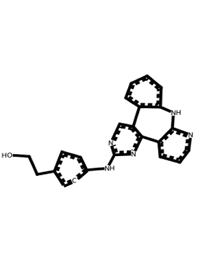 OCCc1ccc(Nc2ncc3c(n2)-c2cccnc2Nc2ccccc2-3)cc1